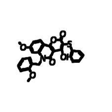 COc1ccc2c3oc(=O)c(Sc4ccccc4)c(O)c3c(=O)n(Cc3ccccc3OC)c2c1